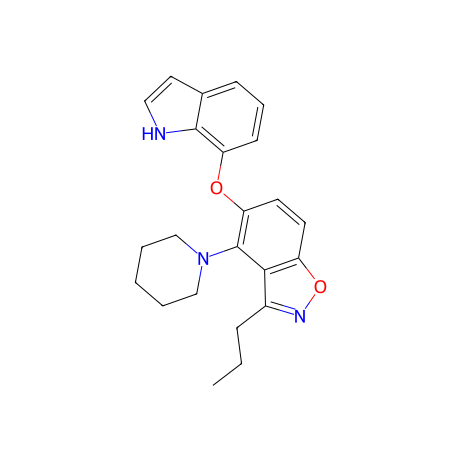 CCCc1noc2ccc(Oc3cccc4cc[nH]c34)c(N3CCCCC3)c12